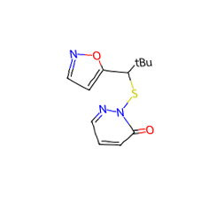 CC(C)(C)C(Sn1ncccc1=O)c1ccno1